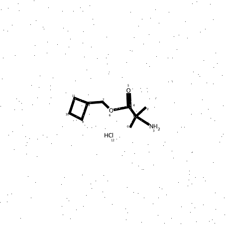 CC(C)(N)C(=O)OCC1CCC1.Cl